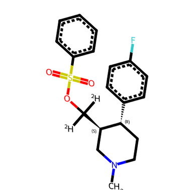 [2H]C([2H])(OS(=O)(=O)c1ccccc1)[C@@H]1CN(C)CC[C@H]1c1ccc(F)cc1